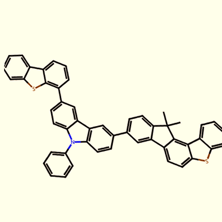 CC1(C)c2ccc(-c3ccc4c(c3)c3cc(-c5cccc6c5sc5ccccc56)ccc3n4-c3ccccc3)cc2-c2ccc3sc4ccccc4c3c21